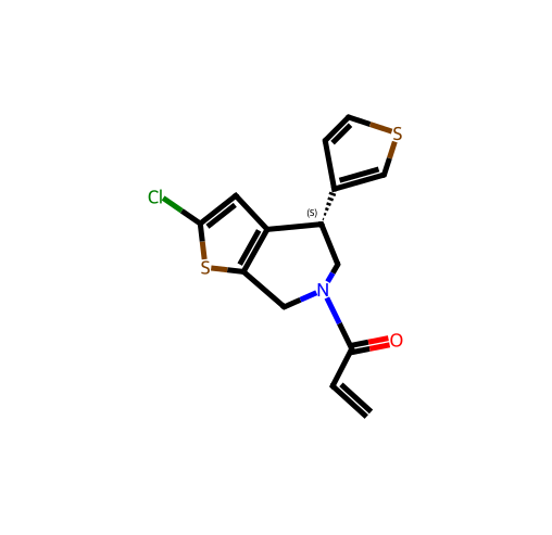 C=CC(=O)N1Cc2sc(Cl)cc2[C@H](c2ccsc2)C1